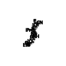 CCS(=O)(=O)c1ccc(CC(=O)Nc2nc3c(s2)CN(Cc2ccc(C#N)c(F)c2)[C@@H]3C(C)C)cc1